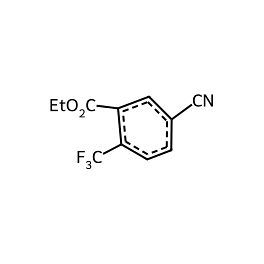 CCOC(=O)c1cc(C#N)ccc1C(F)(F)F